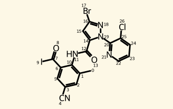 Cc1cc(C#N)cc(C(=O)I)c1NC(=O)c1cc(Br)nn1-c1ncccc1Cl